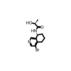 C[C@H](O)C(=O)N[C@@H]1CCCc2c(Br)cncc21